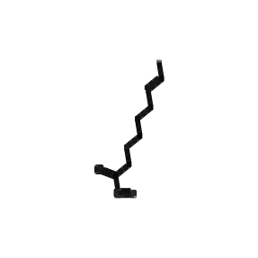 CC=CCCCCCC(=O)OC